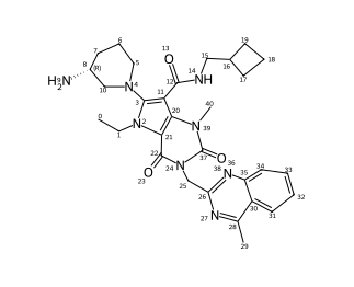 CCn1c(N2CCC[C@@H](N)C2)c(C(=O)NCC2CCC2)c2c1c(=O)n(Cc1nc(C)c3ccccc3n1)c(=O)n2C